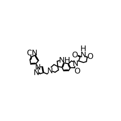 N#Cc1ccc(-n2cc(CN3CCC4(CC3)CNc3c4ccc4c3CN([C@@H]3CCC(=O)NC3=O)C4=O)cn2)cc1